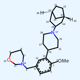 COc1ccc(CN2CCCOC2)cc1C1CCN(C2C[C@H]3CC[C@H](C2)C3)CC1